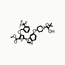 COC(=O)c1sc(-n2cnc3ccc(OC4CCN(C5=C(O)C(C)(C)O5)CC4)cc32)cc1O[C@H](C)c1ccccc1C(F)(F)F